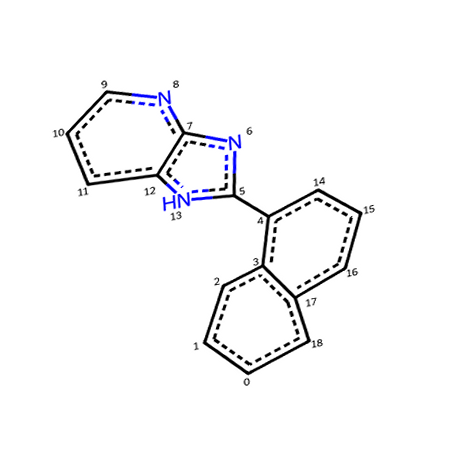 c1ccc2c(-c3nc4ncccc4[nH]3)cccc2c1